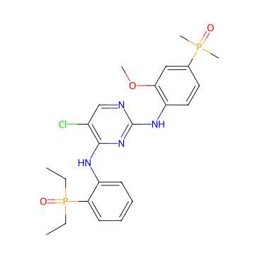 CCP(=O)(CC)c1ccccc1Nc1nc(Nc2ccc(P(C)(C)=O)cc2OC)ncc1Cl